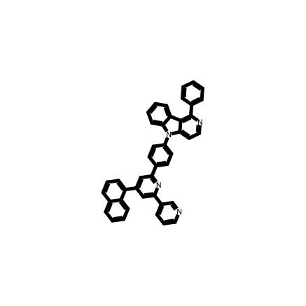 c1ccc(-c2nccc3c2c2ccccc2n3-c2ccc(-c3cc(-c4cccc5ccccc45)cc(-c4cccnc4)n3)cc2)cc1